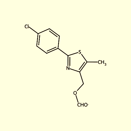 Cc1sc(-c2ccc(Cl)cc2)nc1CO[C]=O